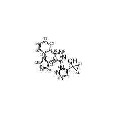 OC1(c2cnnn2-c2nnc3c4ccccc4n4cncc4n23)CC1